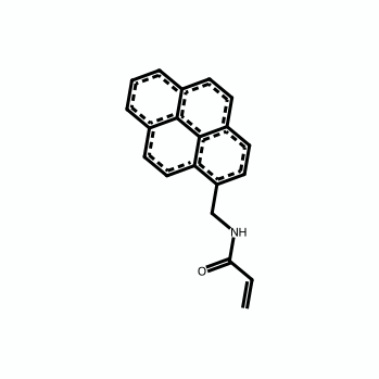 C=CC(=O)NCc1ccc2ccc3cccc4ccc1c2c34